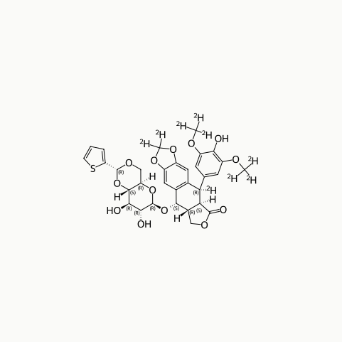 [2H]C([2H])([2H])Oc1cc([C@]2([2H])c3cc4c(cc3[C@@H](O[C@@H]3O[C@@H]5CO[C@@H](c6cccs6)O[C@H]5[C@H](O)[C@H]3O)[C@H]3COC(=O)[C@@H]32)OC([2H])([2H])O4)cc(OC([2H])([2H])[2H])c1O